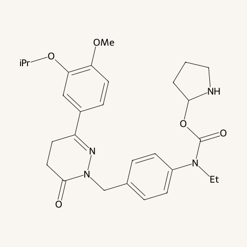 CCN(C(=O)OC1CCCN1)c1ccc(CN2N=C(c3ccc(OC)c(OC(C)C)c3)CCC2=O)cc1